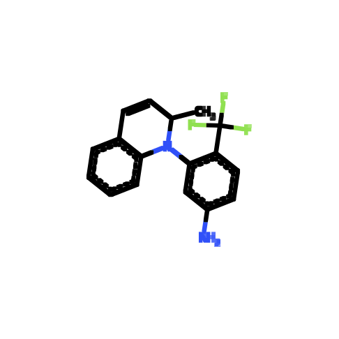 CC1C=Cc2ccccc2N1c1cc(N)ccc1C(F)(F)F